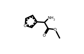 COC(=O)C(N)c1ccoc1